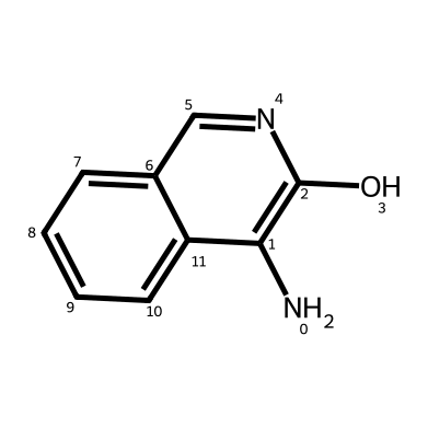 Nc1c(O)ncc2ccccc12